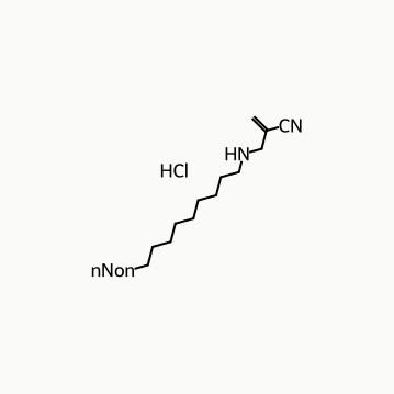 C=C(C#N)CNCCCCCCCCCCCCCCCCCC.Cl